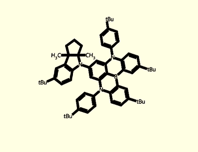 CC(C)(C)c1ccc(N2c3ccc(C(C)(C)C)cc3B3c4cc(C(C)(C)C)ccc4N(c4ccc(C(C)(C)C)cc4)c4cc(N5c6ccc(C(C)(C)C)cc6C6(C)CCCC56C)cc2c43)cc1